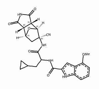 COc1cccc2[nH]c(C(=O)NC(CC3CC3)C(=O)N[C@@]3(C#N)C[C@@H]4O[C@H]3[C@H]3C(=O)NC(=O)[C@H]34)cc12